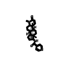 CN1C(=O)C=C[C@@]2(C)C1CC[C@@H]1[C@H]2CC[C@]2(C)C(NC(=O)c3ccncc3)CC[C@@H]12